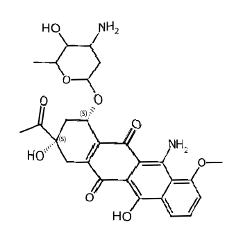 COc1cccc2c(O)c3c(c(N)c12)C(=O)C1=C(C[C@@](O)(C(C)=O)C[C@@H]1OC1CC(N)C(O)C(C)O1)C3=O